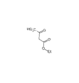 CCOC(=O)CC(=O)C(=O)O